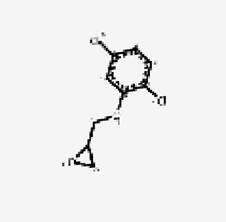 Clc1ccc(Cl)c(OCC2CO2)c1